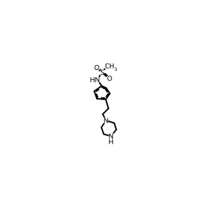 CS(=O)(=O)Nc1ccc(CCN2CCNCC2)cc1